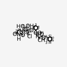 CC(/N=[P+](\[O-])Oc1ccccc1OC[C@@]1(C=CCl)O[C@@H](n2ccc(=O)[nH]c2=O)[C@H](O)[C@@H]1O)C(=O)OCc1ccccc1